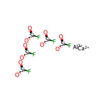 O=[Si]([O-])F.O=[Si]([O-])F.O=[Si]([O-])F.O=[Si]([O-])F.O=[Si]([O-])F.[Al+3].[Ca+2]